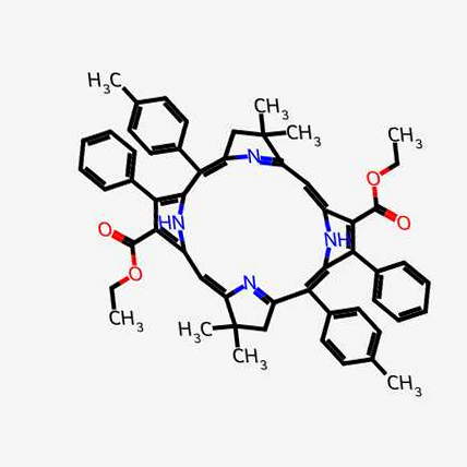 CCOC(=O)c1c(-c2ccccc2)c2[nH]c1cc1nc(c(-c3ccc(C)cc3)c3[nH]c(cc4nc(c2-c2ccc(C)cc2)CC4(C)C)c(C(=O)OCC)c3-c2ccccc2)CC1(C)C